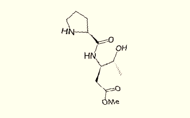 COC(=O)C[C@@H](NC(=O)[C@@H]1CCCN1)[C@@H](C)O